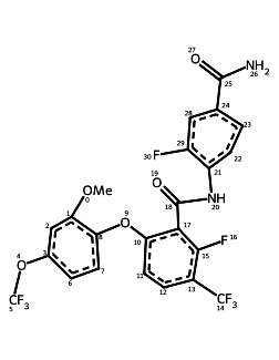 COc1cc(OC(F)(F)F)ccc1Oc1ccc(C(F)(F)F)c(F)c1C(=O)Nc1ccc(C(N)=O)cc1F